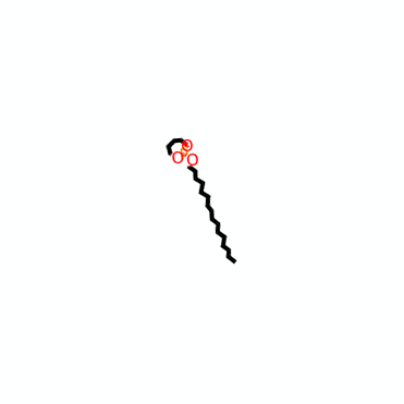 CCCCCCCCCCCCCCCCOP1OCCCCO1